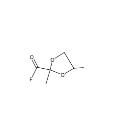 CC1COC(C)(C(=O)F)O1